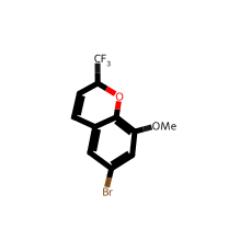 COc1cc(Br)cc2c1OC(C(F)(F)F)C=C2